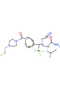 CC(C)C[C@@H](C(N)=O)N(CC#N)C(c1ccc(C(=O)N2CCN(CCF)CC2)cc1)C(F)(F)F